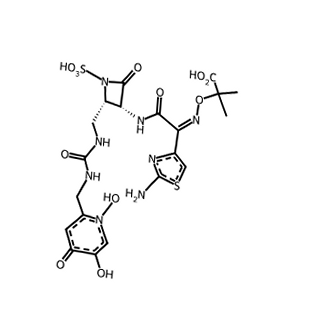 CC(C)(O/N=C(\C(=O)N[C@H]1C(=O)N(S(=O)(=O)O)[C@H]1CNC(=O)NCc1cc(=O)c(O)cn1O)c1csc(N)n1)C(=O)O